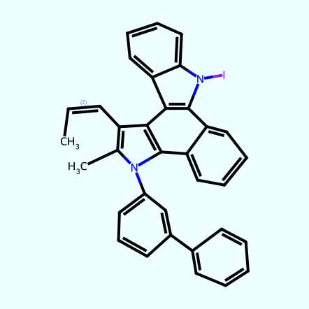 C/C=C\c1c(C)n(-c2cccc(-c3ccccc3)c2)c2c3ccccc3c3c(c4ccccc4n3I)c12